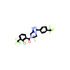 C[C@H]1Cn2c(nnc2-c2ccc(C(F)(F)F)cc2)CN1C(=O)c1cccc(C(F)(F)F)c1Cl